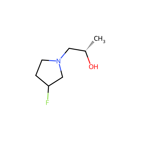 C[C@H](O)CN1CCC(F)C1